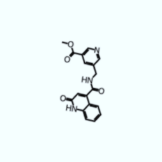 COC(=O)c1cncc(CNC(=O)c2cc(=O)[nH]c3ccccc23)c1